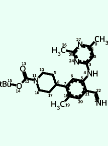 Cc1cc(Nc2cc(C3CCN(C(=O)OC(C)(C)C)CC3)c(C)cc2C=N)nc(C)n1